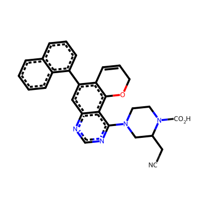 N#CCC1CN(c2ncnc3cc(-c4cccc5ccccc45)c4c(c23)OCC=C4)CCN1C(=O)O